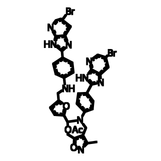 CC(=O)OC(c1ccc(CNc2ccc(-c3nc4cc(Br)cnc4[nH]3)cc2)o1)N(Cc1c(C)noc1C)c1ccc(-c2nc3cc(Br)cnc3[nH]2)cc1